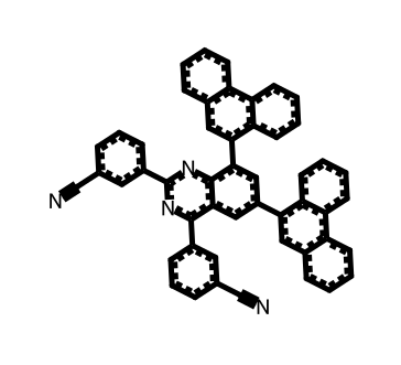 N#Cc1cccc(-c2nc(-c3cccc(C#N)c3)c3cc(-c4cc5ccccc5c5ccccc45)cc(-c4cc5ccccc5c5ccccc45)c3n2)c1